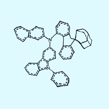 c1ccc(-n2c3ccccc3c3cc(N(c4ccc5ccccc5c4)c4cccc5c4-c4ccccc4C54C5CC6CC(C5)CC4C6)ccc32)cc1